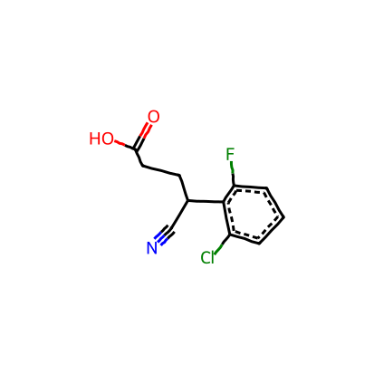 N#CC(CCC(=O)O)c1c(F)cccc1Cl